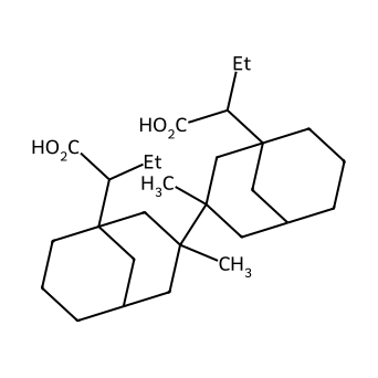 CCC(C(=O)O)C12CCCC(C1)CC(C)(C1(C)CC3CCCC(C(CC)C(=O)O)(C3)C1)C2